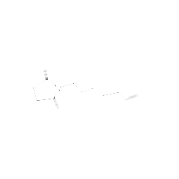 O=CCCCCCN1C(=O)CCC1=O